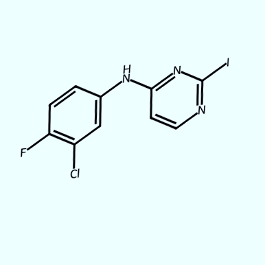 Fc1ccc(Nc2ccnc(I)n2)cc1Cl